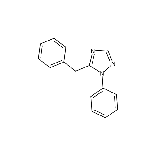 c1ccc(Cc2ncnn2-c2ccccc2)cc1